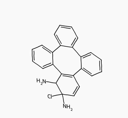 NC1C2=C(C=CC1(N)Cl)c1ccccc1-c1ccccc1-c1ccccc12